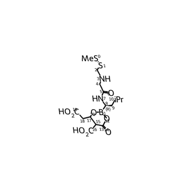 CSSCNCC(=O)N[C@@H](CC(C)C)B1OC(=O)C(C(=O)O)C(CC(=O)O)O1